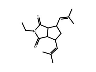 CCN1C(=O)C2C(C=C(C)C)CC(C=C(C)C)C2C1=O